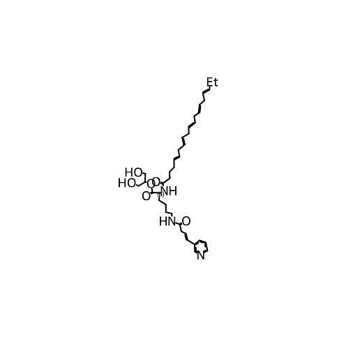 CCC=CCC=CCC=CCC=CCC=CCCCC(=O)N[C@@H](CCCCNC(=O)CC=Cc1cccnc1)C(=O)OC(CO)CO